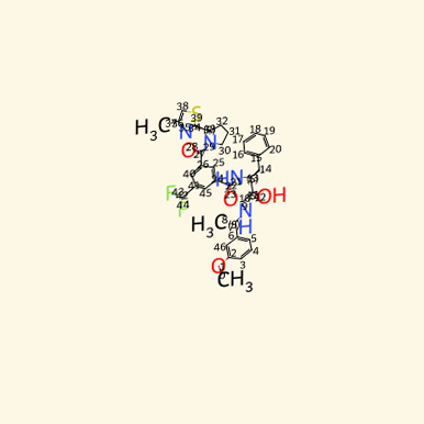 COc1cccc([C@H](C)NC[C@H](O)[C@H](Cc2ccccc2)NC(=O)c2cc(C(=O)N3CCC[C@@H]3c3nc(C)cs3)cc(C(F)F)c2)c1